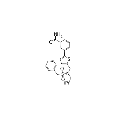 CC(C)CN(Cc1ccc(-c2cccc(C(N)=O)c2)s1)S(=O)(=O)Cc1ccccc1